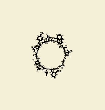 CC[C@H](C)[C@@H]1NC(=O)[C@H](CC(C)C)N(C)C(=O)CCCN(C)C(=O)C[C@@H](C(=O)N2CCCCC2)NC(=O)[C@H](CC(C)C)N(C)C(=O)[C@H](CC(C)C)N(C)C(=O)[C@H]([C@@H](C)O)NC2OC2[C@H](CC(C)C)N(C)C(=O)[C@H](Cc2ccc(O)cc2)NC(=O)[C@H](CC(C)C)N(C)C(=O)[C@H](Cc2ccccc2)N(C)C1=O